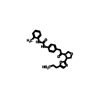 Cc1ccccc1NC(=O)Nc1ccc(CC(=O)N2COCC2c2ncc(CCC(=O)O)o2)cc1